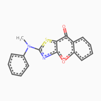 CN(c1ccccc1)c1nc2oc3ccccc3c(=O)c2s1